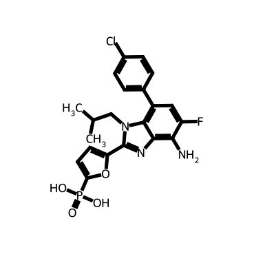 CC(C)Cn1c(-c2ccc(P(=O)(O)O)o2)nc2c(N)c(F)cc(-c3ccc(Cl)cc3)c21